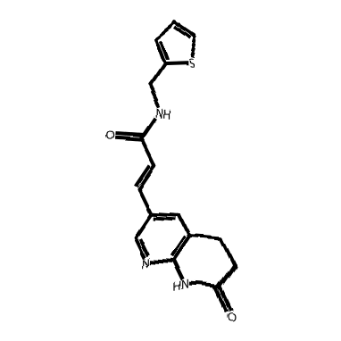 O=C(C=Cc1cnc2c(c1)CCC(=O)N2)NCc1cccs1